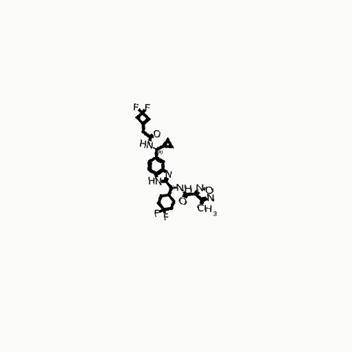 Cc1nonc1C(=O)N[C@H](c1nc2cc([C@H](NC(=O)CC3CC(F)(F)C3)C3CC3)ccc2[nH]1)C1CCC(F)(F)CC1